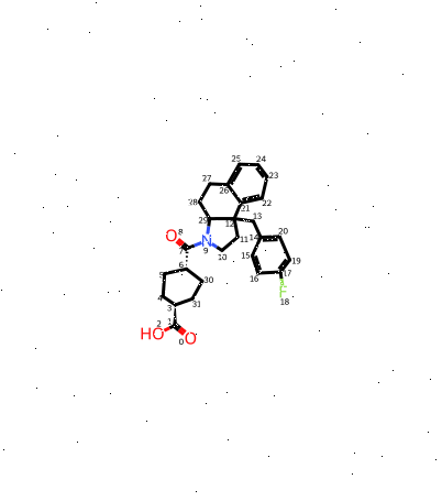 O=C(O)[C@H]1CC[C@H](C(=O)N2CCC3(Cc4ccc(F)cc4)c4ccccc4CCC23)CC1